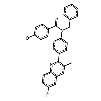 C=C(c1ccc(O)cc1)N(Cc1ccccc1)c1ccc(-c2nc3ccc(F)cc3cc2C)cc1